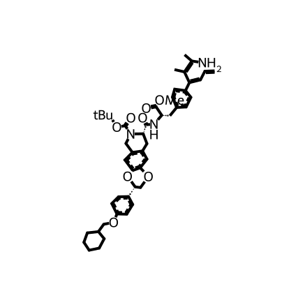 C=C/C=C(\C(C)=C(\C)N)c1ccc(C[C@H](NC(=O)[C@@H]2Cc3cc4c(cc3CN2C(=O)OC(C)(C)C)O[C@@H](c2ccc(OCC3CCCCC3)cc2)CO4)C(=O)OC)cc1